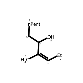 CCC=C(C)C(O)CCCCCC